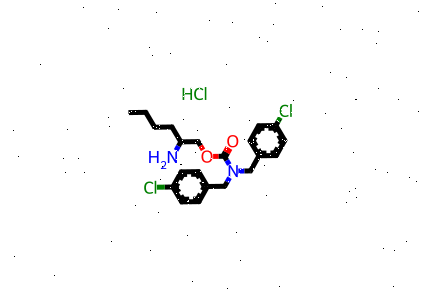 CCCCC(N)COC(=O)N(Cc1ccc(Cl)cc1)Cc1ccc(Cl)cc1.Cl